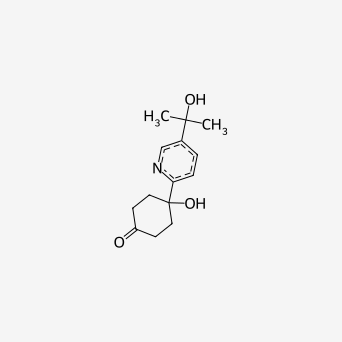 CC(C)(O)c1ccc(C2(O)CCC(=O)CC2)nc1